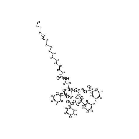 CCCCCCCCCCCCCCCCCC(=O)NCCS[C@@H]1O[C@H](COC(=O)c2ccccc2)[C@H](OC(=O)c2ccccc2)[C@H](OC(=O)c2ccccc2)[C@H]1OC(=O)c1ccccc1